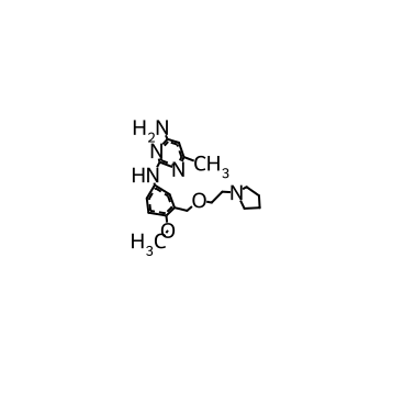 COc1ccc(Nc2nc(C)cc(N)n2)cc1COCCN1CCCC1